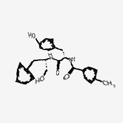 Cc1ccc(C(=O)N[C@@H](Cc2ccc(O)cc2)C(=O)N[C@H](CO)Cc2ccccc2)cc1